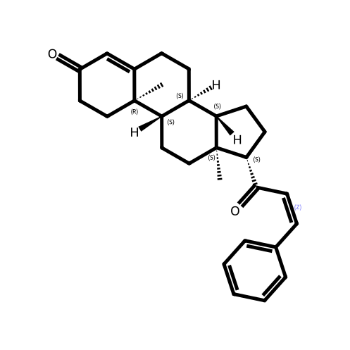 C[C@]12CC[C@H]3[C@@H](CCC4=CC(=O)CC[C@@]43C)[C@@H]1CC[C@@H]2C(=O)/C=C\c1ccccc1